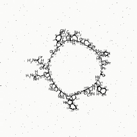 CCCC[C@H]1C(=O)N(C)[C@@H](CCCC)C(=O)N[C@@H](CCCNC(=N)N)C(=O)N[C@H](C(=O)NCC(N)=O)CSCC(=O)N[C@@H](Cc2ccc(O)cc2)C(=O)N(C)[C@@H](CCC(=O)O)C(=O)N[C@@H](CC(N)=O)C(=O)N2CCC[C@H]2C(=O)N[C@@H](Cc2cnc[nH]2)C(=O)N[C@@H](CC(C)C)C(=O)N(C)CC(=O)N[C@@H](Cc2c[nH]c3ccccc23)C(=O)N[C@@H](CO)C(=O)N[C@@H](Cc2c[nH]c3ccccc23)C(=O)N1C